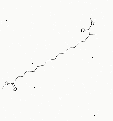 COC(=O)CCCCCCCCCCCCCCC(C)C(=O)OC